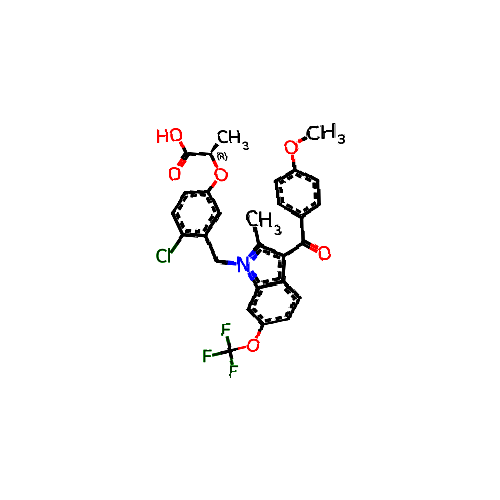 COc1ccc(C(=O)c2c(C)n(Cc3cc(O[C@H](C)C(=O)O)ccc3Cl)c3cc(OC(F)(F)F)ccc23)cc1